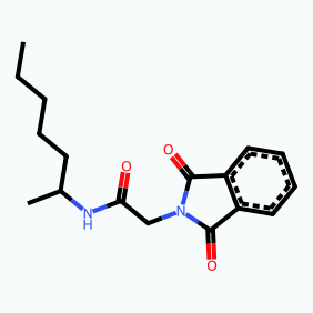 CCCCCC(C)NC(=O)CN1C(=O)c2ccccc2C1=O